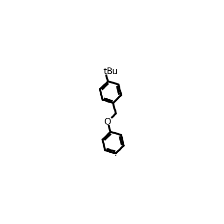 CC(C)(C)c1ccc(COc2cc[c]cc2)cc1